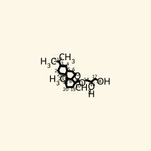 CC(C)C1=CC2CCC3C(C)(C(=O)OCC(O)CO)CCCC3(C)C2CC1